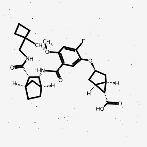 COc1cc(F)c(O[C@H]2C[C@@H]3[C@H](C2)[C@H]3C(=O)O)cc1C(=O)N[C@@H]1[C@H]2CC[C@H](C2)[C@@H]1C(=O)NCC1(C)CCC1